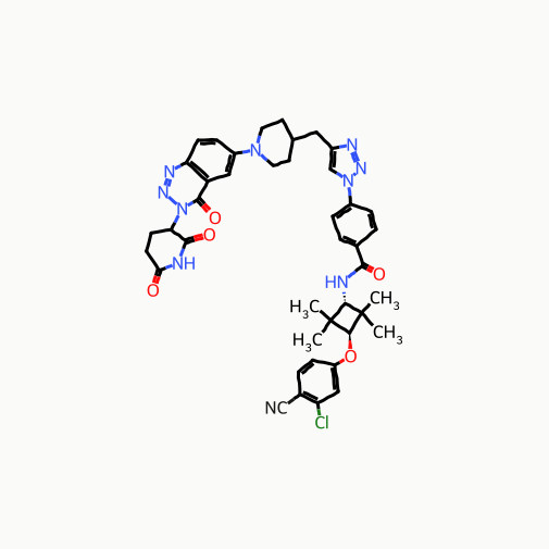 CC1(C)[C@H](NC(=O)c2ccc(-n3cc(CC4CCN(c5ccc6nnn(C7CCC(=O)NC7=O)c(=O)c6c5)CC4)nn3)cc2)C(C)(C)[C@H]1Oc1ccc(C#N)c(Cl)c1